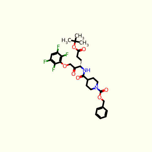 CC(C)(C)OC(=O)CC[C@H](NC(=O)C1CCN(C(=O)OCc2ccccc2)CC1)C(=O)COc1c(F)c(F)cc(F)c1F